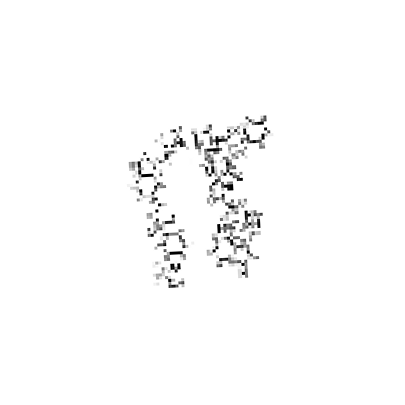 CN1CCC[C@@H]1Cc1c[nH]c2ccc(CCS(=O)(=O)c3ccccc3)cc12.CN1C[C@H](C(=O)N[C@]2(C)O[C@@]3(O)[C@@H]4CCCN4C(=O)[C@H](Cc4ccccc4)N3C2=O)C[C@@H]2c3cccc4[nH]cc(c34)C[C@H]21.CS(=O)(=O)O